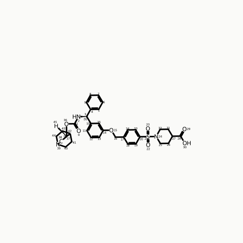 O=C(N[C@@H](c1ccccc1)c1cccc(OCc2ccc(S(=O)(=O)N3CCC(C(=O)O)CC3)cc2)c1)O[C@H]1CN2CCC1CC2